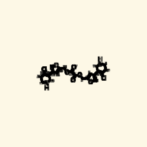 O=C(OCc1cc(C2=C(Cl)CCNC2)no1)C(=O)OCc1cc(C2=C(Cl)CCNC2)no1